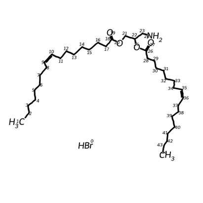 Br.CCCCCCCC/C=C\CCCCCCCC(=O)OCC(CN)OC(=O)CCCCCCC/C=C\CCCCCCCC